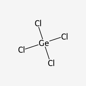 [Cl][Ge]([Cl])([Cl])[Cl]